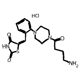 Cl.NCCCC(=O)N1CCN(c2ccccc2/C=C2/SC(=O)NC2=O)CC1